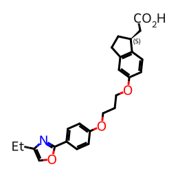 CCc1coc(-c2ccc(OCCCOc3ccc4c(c3)CC[C@H]4CC(=O)O)cc2)n1